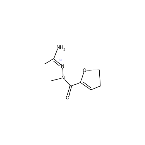 C/C(N)=N\N(C)C(=O)C1=CCCO1